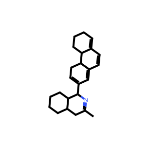 CC1=NC(C2=CCC3C(=C2)C=CC2=CCCCC23)C2CCCCC2C1